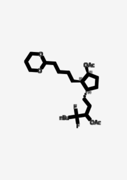 CCCCC(F)(F)C(CC[C@H]1CC[C@H](OC(C)=O)[C@@H]1CCCCC1OCCCO1)OC(C)=O